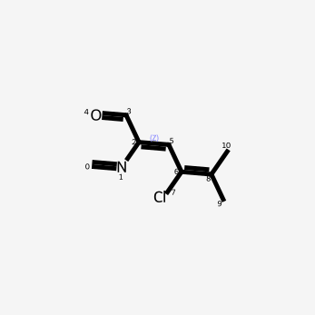 C=N/C(C=O)=C\C(Cl)=C(C)C